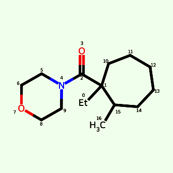 CCC1(C(=O)N2CCOCC2)CCCCCC1C